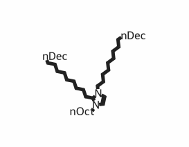 CCCCCCCCCCCCCCCCCCCC1N(CCCCCCCC)C=CN1CCCCCCCCCCCCCCCCCCC